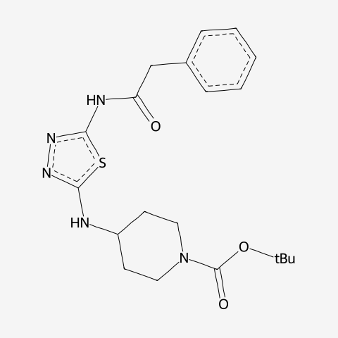 CC(C)(C)OC(=O)N1CCC(Nc2nnc(NC(=O)Cc3ccccc3)s2)CC1